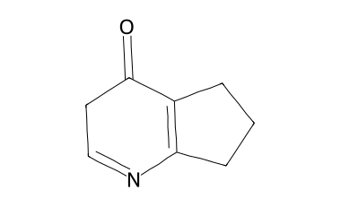 O=C1CC=NC2=C1CCC2